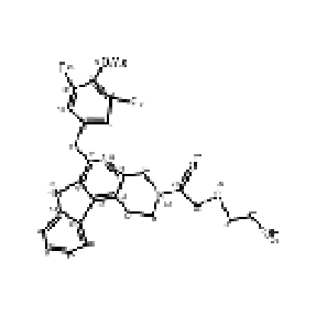 COc1c(F)cc(Cc2nc3c(c4c2[nH]c2ccccc24)CCN(C(=O)COCCO)C3)cc1F